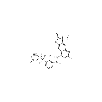 COC1(C)C(=O)N(C)c2cc3c(N[C@H](C)c4cccc(C(F)(F)[C@](C)(O)CN(C)C)c4F)nc(C)nc3cc21